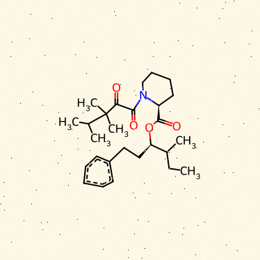 CCC(C)[C@@H](CCc1ccccc1)OC(=O)[C@@H]1CCCCN1C(=O)C(=O)C(C)(C)C(C)C